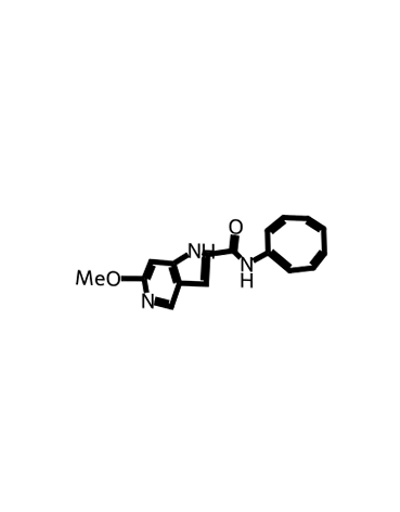 COc1cc2[nH]c(C(=O)NC3=CC=CC=CC=C3)cc2cn1